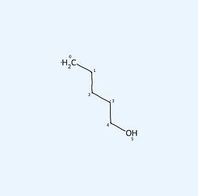 [CH2]CC[CH]CO